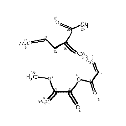 C=CC(=O)OC(=O)C(=C)OC.C=CCC(=C)C(=O)O